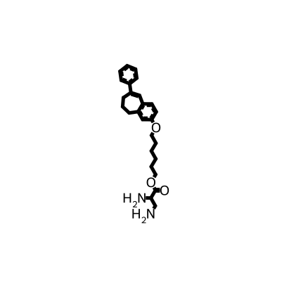 NCC(N)C(=O)OCCCCCCOc1ccc2c(c1)CCCC(c1ccccc1)=C2